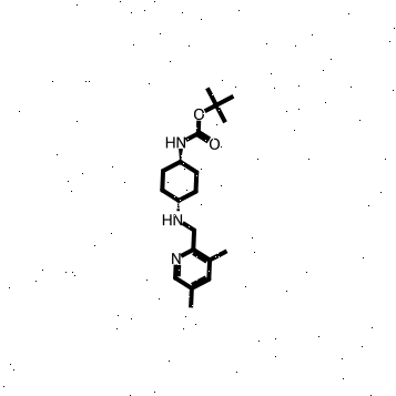 Cc1cnc(CN[C@H]2CC[C@H](NC(=O)OC(C)(C)C)CC2)c(C)c1